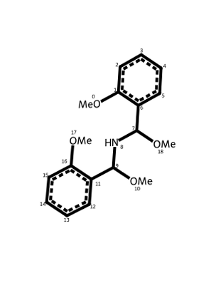 COc1ccccc1C(NC(OC)c1ccccc1OC)OC